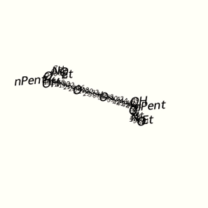 CCCCCC(OCC[N+](C)(C)CCOCC)C(O)CCCCCCCCCCCOCCCCCCCCCCOCCCCCCCCCCCC(O)C(CCCCC)OCC[N+](C)(C)CCOCC